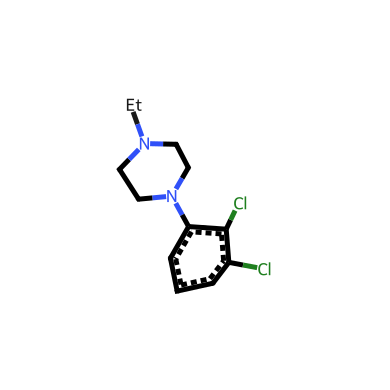 [CH2]CN1CCN(c2cccc(Cl)c2Cl)CC1